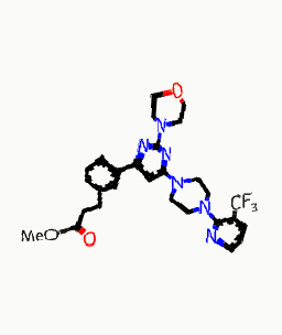 COC(=O)CCc1cccc(-c2cc(N3CCN(c4ncccc4C(F)(F)F)CC3)nc(N3CCOCC3)n2)c1